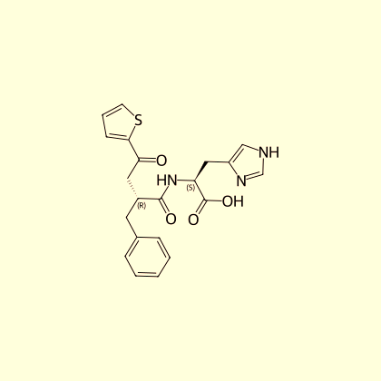 O=C(C[C@@H](Cc1ccccc1)C(=O)N[C@@H](Cc1c[nH]cn1)C(=O)O)c1cccs1